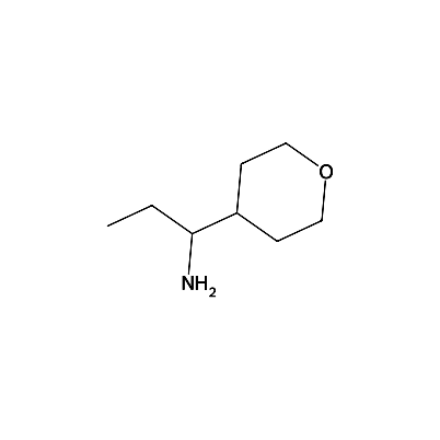 CCC(N)C1CCOCC1